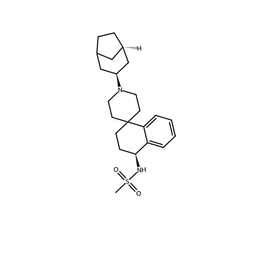 CS(=O)(=O)N[C@H]1CCC2(CCN([C@H]3CC4CC[C@H](C4)C3)CC2)c2ccccc21